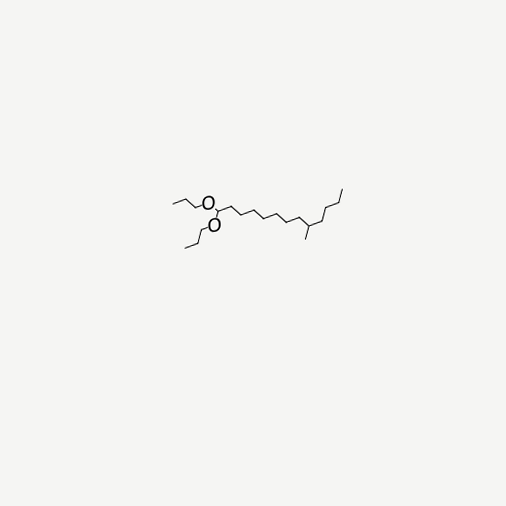 CCCCC(C)CCCCCCCC(OCCC)OCCC